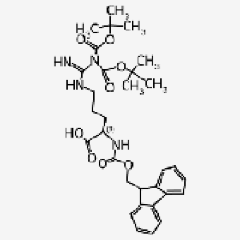 CC(C)(C)OC(=O)N(C(=N)NCCC[C@@H](NC(=O)OCC1c2ccccc2-c2ccccc21)C(=O)O)C(=O)OC(C)(C)C